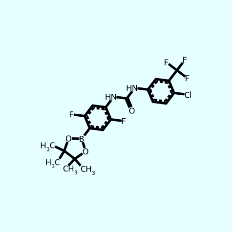 CC1(C)OB(c2cc(F)c(NC(=O)Nc3ccc(Cl)c(C(F)(F)F)c3)cc2F)OC1(C)C